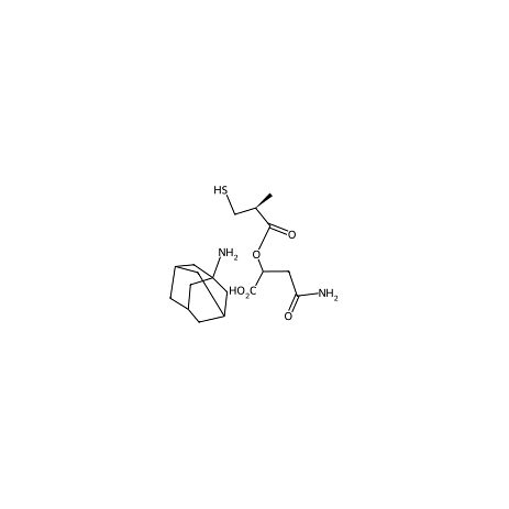 C[C@H](CS)C(=O)OC(CC(N)=O)C(=O)O.NC12CC3CC(CC(C3)C1)C2